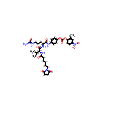 Cc1cc([N+](=O)[O-])ccc1OC(=O)Oc1ccc(NC(=O)[C@H](CCCNC(N)=O)NC(=O)[C@@H](NC(=O)CCCCCN2C(=O)C=CC2=O)C(C)C)cc1